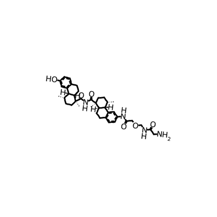 C[C@H]1CC[C@](C)(C(=O)NC(=O)[C@@]2(C)CC[C@H](C)[C@@H]3c4cc(NC(=O)COCNC(=O)CN)ccc4CC[C@H]32)[C@@H]2CCc3ccc(O)cc3[C@H]21